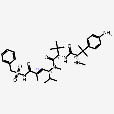 CN[C@H](C(=O)N[C@H](C(=O)N(C)[C@H](/C=C(\C)C(=O)NS(=O)(=O)Cc1ccccc1)C(C)C)C(C)(C)C)C(C)(C)c1ccc(N)cc1